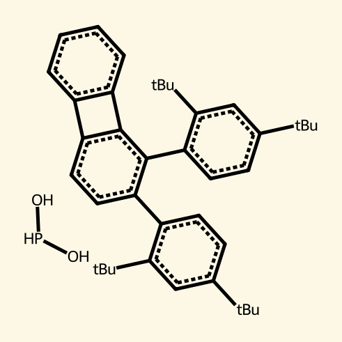 CC(C)(C)c1ccc(-c2ccc3c(c2-c2ccc(C(C)(C)C)cc2C(C)(C)C)-c2ccccc2-3)c(C(C)(C)C)c1.OPO